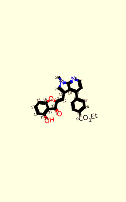 CCOC(=O)c1ccc(-c2ccnc3c2c(/C=C2\Oc4cccc(O)c4C2=O)cn3C)cc1